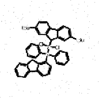 CC(C)(C)c1ccc2c(c1)[CH]([Zr]([Cl])([Cl])[Si](c1ccccc1)(c1ccccc1)c1cccc3c1Cc1ccccc1-3)c1cc(C(C)(C)C)ccc1-2